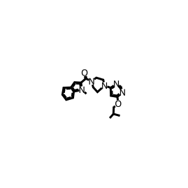 CC(C)COc1cc(N2CCN(C(=O)c3cc4ccccc4n3C)CC2)ncn1